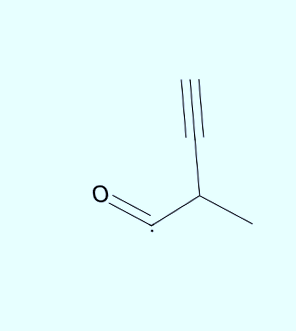 C#CC(C)[C]=O